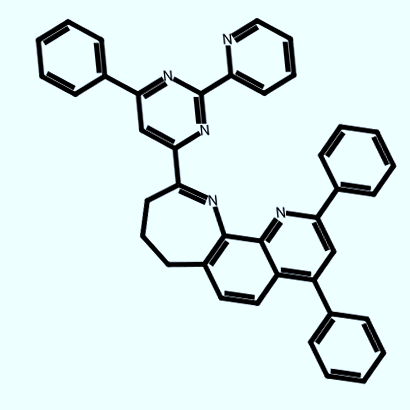 c1ccc(-c2cc(C3=Nc4c(ccc5c(-c6ccccc6)cc(-c6ccccc6)nc45)CCC3)nc(-c3ccccn3)n2)cc1